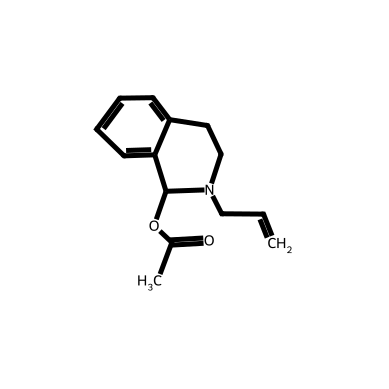 C=CCN1CCc2ccccc2C1OC(C)=O